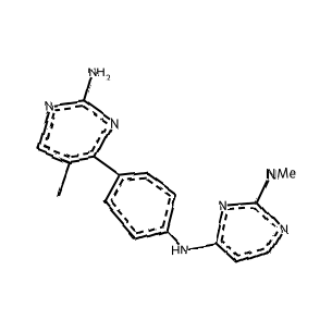 CNc1nccc(Nc2ccc(-c3nc(N)ncc3C)cc2)n1